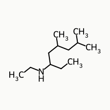 CCNC(CC)CC(C)CC(C)C